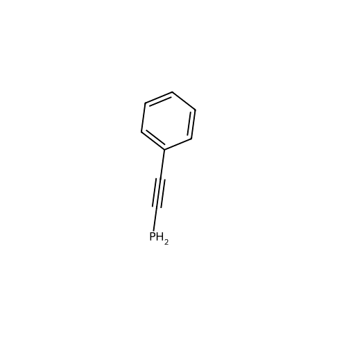 PC#Cc1ccccc1